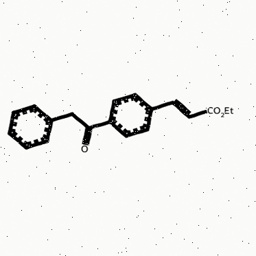 CCOC(=O)C=Cc1ccc(C(=O)Cc2ccccc2)cc1